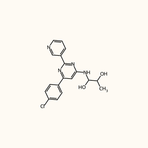 CC(O)C(O)Nc1cc(-c2ccc(Cl)cc2)nc(-c2cccnc2)n1